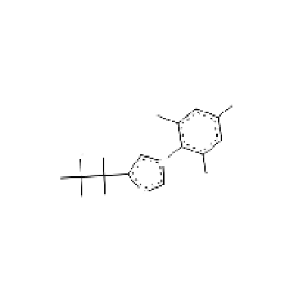 FC(F)(F)c1cc(Cl)c(-n2cnc(C(F)(F)C(F)(F)Br)c2)c(Cl)c1